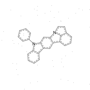 c1ccc(-n2c3ccccc3c3cc4c5cccc6ccn(c4cc32)c65)cc1